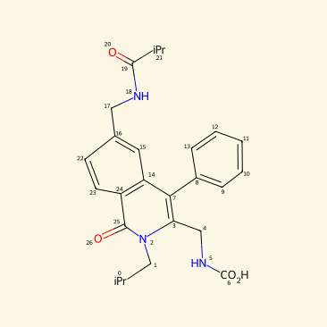 CC(C)Cn1c(CNC(=O)O)c(-c2ccccc2)c2cc(CNC(=O)C(C)C)ccc2c1=O